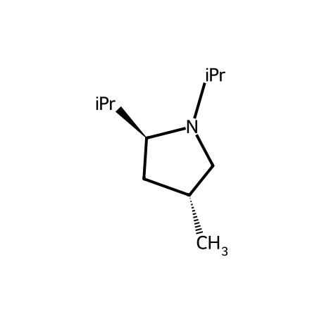 CC(C)[C@@H]1C[C@@H](C)CN1C(C)C